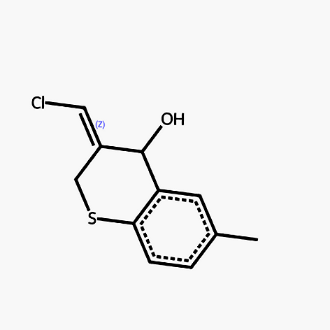 Cc1ccc2c(c1)C(O)/C(=C/Cl)CS2